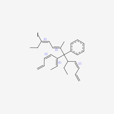 C=C/C=C\C(=C/C)C(/C(C)=C/C=C(/I)CC)(c1ccccc1)C(/C=C\C=C)CC